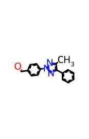 Cc1nn(-c2ccc(C=O)cc2)nc1-c1ccccc1